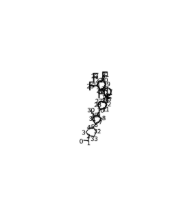 CCC1CC=C(c2ccc(-c3ccc(C(F)(F)Oc4cc(F)c(F)c(F)c4)cc3)c(C)c2)CC1